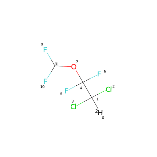 [2H]C(Cl)(Cl)C(F)(F)OC(F)F